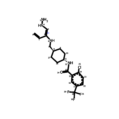 C=C/C(=C\NN)NC[C@H]1CC[C@H](NC(=O)c2cc(C(F)(F)F)ccc2Cl)CC1